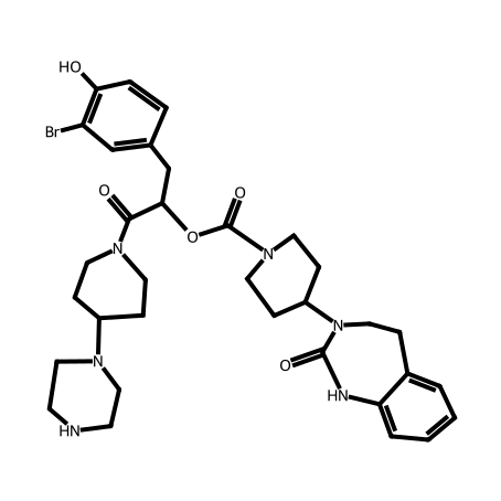 O=C(OC(Cc1ccc(O)c(Br)c1)C(=O)N1CCC(N2CCNCC2)CC1)N1CCC(N2CCc3ccccc3NC2=O)CC1